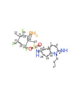 CCCn1c(=N)ccc2cc(NS(=O)(=O)CC3=C(P)C(F)=C(C)C(F)=CC3F)ccc21